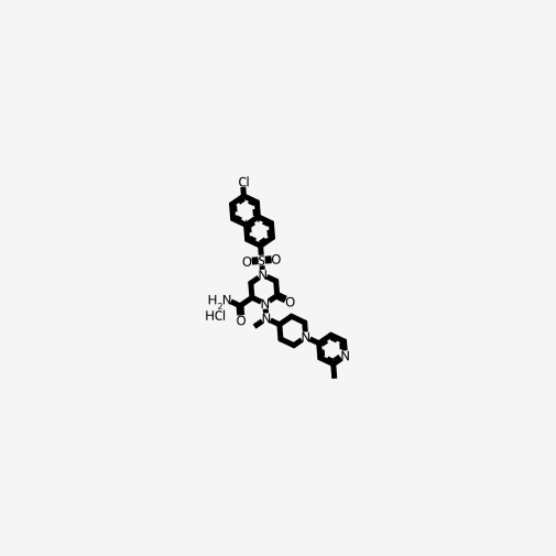 Cc1cc(N2CCC(N(C)N3C(=O)CN(S(=O)(=O)c4ccc5cc(Cl)ccc5c4)CC3C(N)=O)CC2)ccn1.Cl